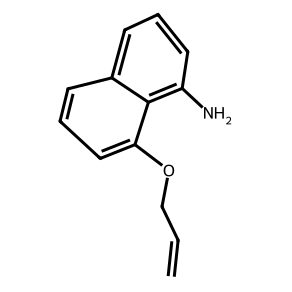 C=CCOc1cccc2cccc(N)c12